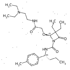 CCC[C@@H](NC(=O)N1C(=O)C(CC)(CC)[C@@H]1OCC(=O)NCCN(CC)CC)c1ccc(C)cc1